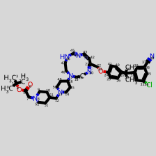 CC(C)(C)OC(=O)CN1CCC(CN2CCC(N3CC\N=C(COc4ccc(C(C)(C)c5cc(Cl)cc(C#N)c5)cc4)/C=C\N=C\NCC3)CC2)CC1